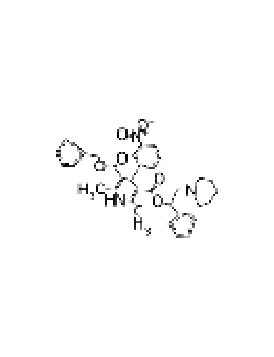 CC1=C(C(=O)OCc2ccccc2)C(c2cccc([N+](=O)[O-])c2)C(C(=O)OC(CN2CCCCC2)c2ccccc2)=C(C)N1